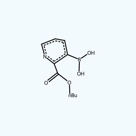 CCCCOC(=O)c1ncccc1B(O)O